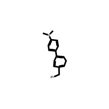 CC(C)CC1=CCC=C(c2ccc(N(C)C)cc2)C=C1